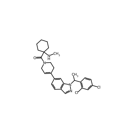 CNC1(C(=O)N2CC=C(c3ccc4cnn(C(C)c5ccc(Cl)cc5Cl)c4c3)CC2)CCCCC1